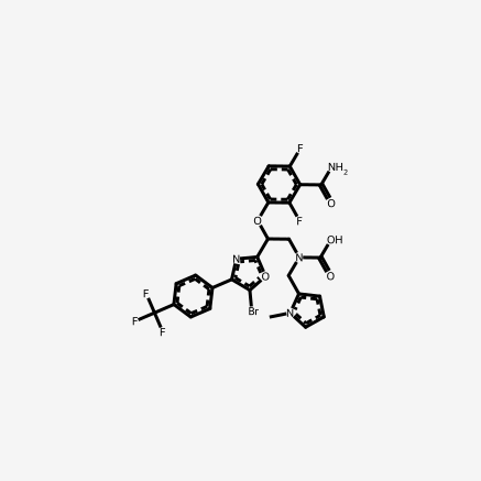 Cn1cccc1CN(CC(Oc1ccc(F)c(C(N)=O)c1F)c1nc(-c2ccc(C(F)(F)F)cc2)c(Br)o1)C(=O)O